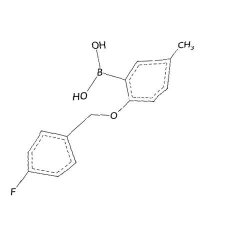 Cc1ccc(OCc2ccc(F)cc2)c(B(O)O)c1